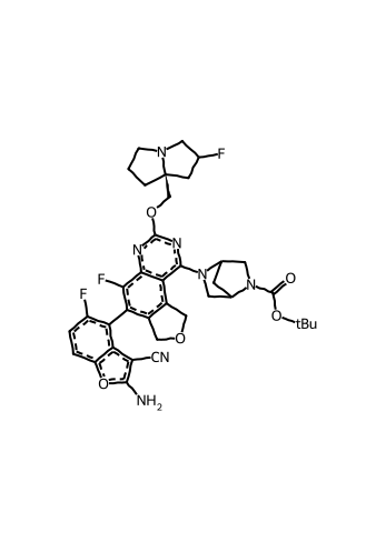 CC(C)(C)OC(=O)N1CC2CC1CN2c1nc(OC[C@@]23CCCN2CC(F)C3)nc2c(F)c(-c3c(F)ccc4oc(N)c(C#N)c34)c3c(c12)COC3